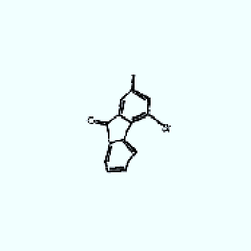 Cc1cc(Br)c2c(c1)C(=O)c1ccccc1-2